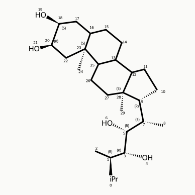 CC(C)[C@@H](C)[C@@H](O)[C@H](O)[C@@H](C)[C@H]1CCC2C3CCC4C[C@H](O)[C@H](O)C[C@]4(C)C3CC[C@@]21C